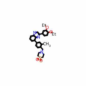 CCOc1ccc(-c2cnc3cccc(-c4ccc(CN5CCS(=O)(=O)CC5)c(C)c4)c3n2)cc1OCC